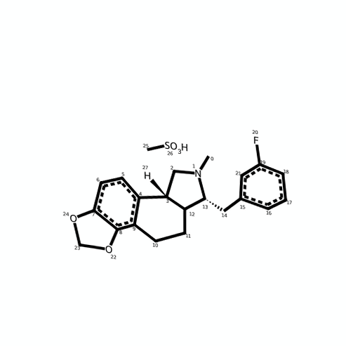 CN1C[C@H]2c3ccc4c(c3CCC2[C@H]1Cc1cccc(F)c1)OCO4.CS(=O)(=O)O